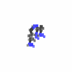 CCCC=N.CN.CN.CN